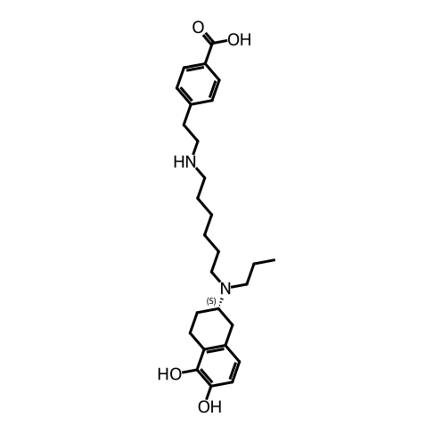 CCCN(CCCCCCNCCc1ccc(C(=O)O)cc1)[C@H]1CCc2c(ccc(O)c2O)C1